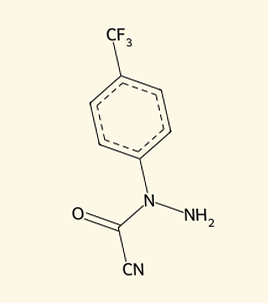 N#CC(=O)N(N)c1ccc(C(F)(F)F)cc1